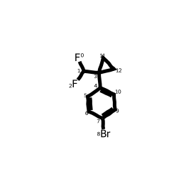 FC(F)C1(c2ccc(Br)cc2)CC1